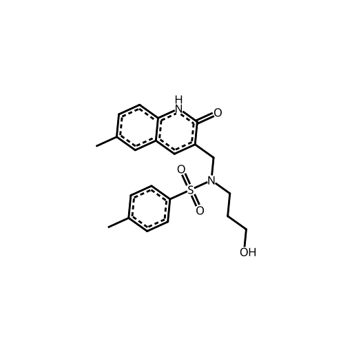 Cc1ccc(S(=O)(=O)N(CCCO)Cc2cc3cc(C)ccc3[nH]c2=O)cc1